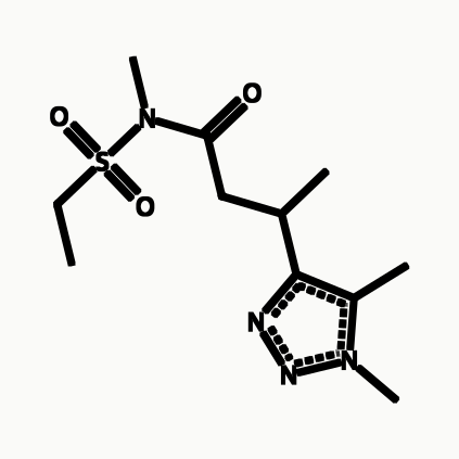 CCS(=O)(=O)N(C)C(=O)CC(C)c1nnn(C)c1C